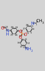 C/C=N/c1ccc(OP(Oc2ccc(N)cc2)Oc2ccc(NC=O)cc2)cc1